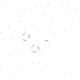 CCOC(=O)N1C=CN2c3cc(Oc4ccc([N+](=O)[O-])cc4)ccc3SC12